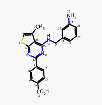 Cc1csc2nc(-c3ccc(C(=O)O)cc3)nc(NCc3cccc(N)c3)c12